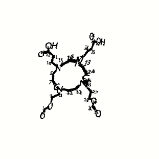 O=COCCN1CCCN(CCC(=O)O)CCN(CCC(=O)O)CCCN(CCOC=O)CC1